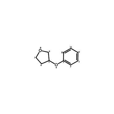 [c]1ccc(OC2CCOC2)cc1